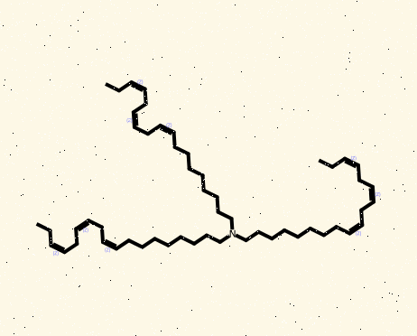 CC/C=C\C/C=C\C/C=C\CCCCCCCCN(CCCCCCCC/C=C\C/C=C\C/C=C\CC)CCCCCCCC/C=C\C/C=C\C/C=C\CC